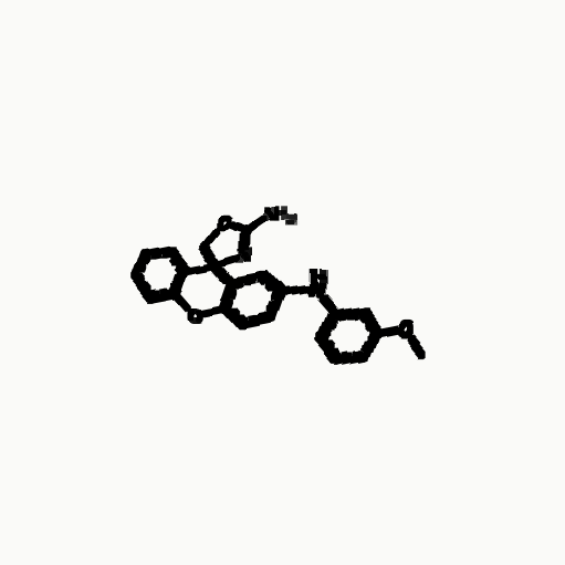 COc1cccc(Nc2ccc3c(c2)C2(COC(N)=N2)c2ccccc2O3)c1